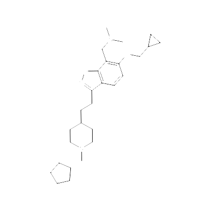 CN(C)Cc1c(OCC2CC2)ccc2c(CCC3CCN(C[C@@H]4CCC[C@@H]4O)CC3)noc12.Cl.Cl